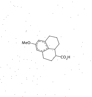 COc1cc2c3c(c1)CCC(C(=O)O)C3CCC2